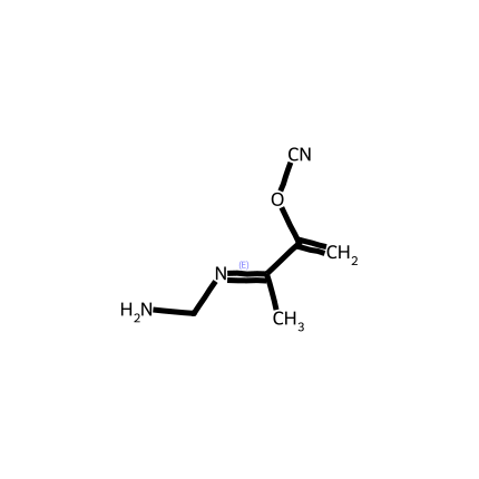 C=C(OC#N)/C(C)=N/CN